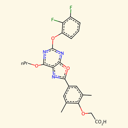 CCCOc1nc(Oc2cccc(F)c2F)nc2oc(-c3cc(C)c(OCC(=O)O)c(C)c3)nc12